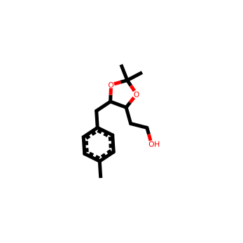 Cc1ccc(CC2OC(C)(C)OC2CCO)cc1